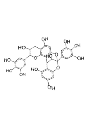 Oc1cc(O)c2c(c1)OC1(c3cc(O)c(O)c(O)c3)Oc3cc(O)c4c(c3C2C1O)OC(c1cc(O)c(O)c(O)c1)C(O)C4